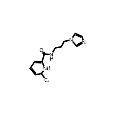 O=C(NCCCn1ccnc1)C1=CC=CC(Cl)N1